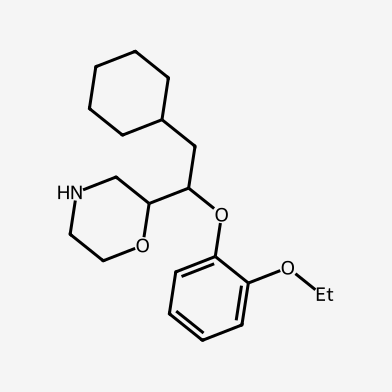 CCOc1ccccc1OC(CC1CCCCC1)C1CNCCO1